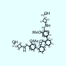 COc1nc(-c2cccc(-c3cccc(-c4cnc(CN[C@H]5C[C@@H](CO)C5)c(OC)n4)c3Cl)c2Cl)cnc1CN[C@H]1C[C@@H](CO)C1